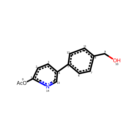 CC(=O)Oc1ccc(-c2ccc(CO)cc2)cn1